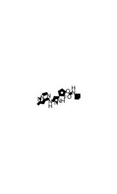 Cc1cc2c(Nc3cc([C@H]4CC[C@@H](OC(=O)NC56CC(C5)C6)[C@H]4F)[nH]n3)nccn2n1